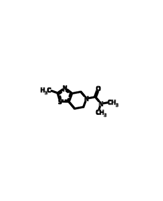 Cc1nc2c(s1)CCN(C(=O)N(C)C)C2